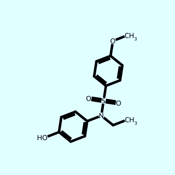 CCN(c1ccc(O)cc1)S(=O)(=O)c1ccc(OC)cc1